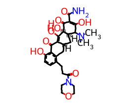 CN(C)C1C(O)=C(C(N)=O)C(=O)[C@]2(O)C(O)=C3C(=O)c4c(O)ccc(CCC(=O)N5CCOCC5)c4C[C@H]3C[C@H]12